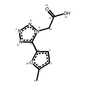 Cc1ccc(-c2nnnn2CC(=O)O)o1